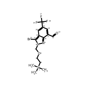 C[Si](C)(C)CCOCn1nc2c(C=O)cc(C(F)(F)F)cc2c1Br